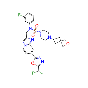 O=S(=O)(N1CCN(C2CC3(COC3)C2)CC1)N(Cc1cn2ccc(-c3nnc(C(F)F)o3)cc2n1)c1cccc(F)c1